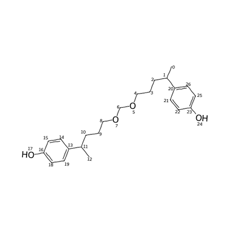 CC(CCCOCOCCCC(C)c1ccc(O)cc1)c1ccc(O)cc1